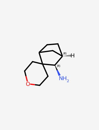 N[C@@H]1[C@@H]2CCC(C2)C12CCOCC2